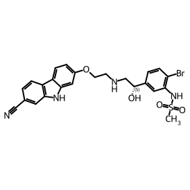 CS(=O)(=O)Nc1cc([C@H](O)CNCCOc2ccc3c(c2)[nH]c2cc(C#N)ccc23)ccc1Br